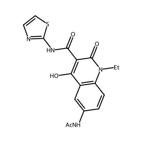 CCn1c(=O)c(C(=O)Nc2nccs2)c(O)c2cc(NC(C)=O)ccc21